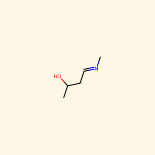 CN=C[CH]C(C)O